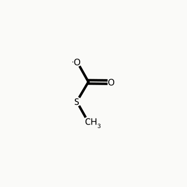 CSC([O])=O